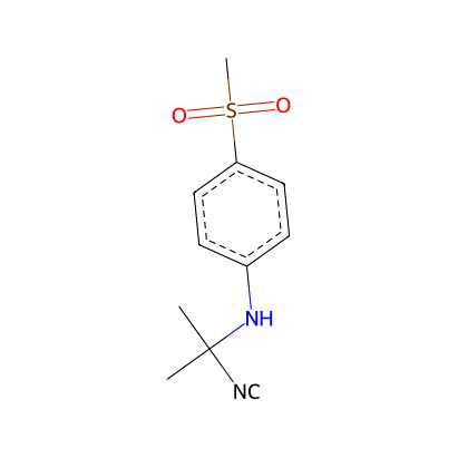 [C-]#[N+]C(C)(C)Nc1ccc(S(C)(=O)=O)cc1